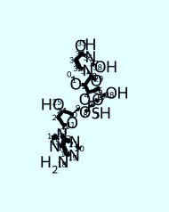 COC1C(OP(=O)(S)OC[C@H]2O[C@@H](n3cnc4c(N)ncnc43)CC2O)[C@@H](CO)O[C@H]1N1C=CC(=O)NC1O